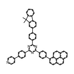 CC1(C)c2ccccc2-c2ccc(-c3ccc(-c4nc(-c5ccc(-c6ccncc6)cc5)nc(-c5ccc(-c6ccc7ccc8cccc9ccc6c7c89)cc5)n4)cc3)cc21